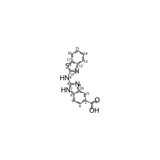 O=C(O)c1ccc2[nH]c(Nc3nc4ccccc4s3)nc2c1